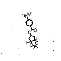 CC1(C)O[C@H]2CC(OC(=O)c3ccc([N+](=O)[O-])cc3)C[C@H]2O1